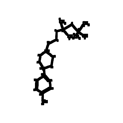 CC(C)(O)CC(C)(C)CCCN1CCN(c2ccc(C(C)(C)C)cc2)CC1